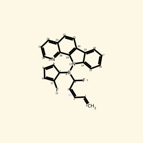 C=C/C=C\C(F)B(C1C=CC=C1F)n1c2ccccc2c2ccc3cccnc3c21